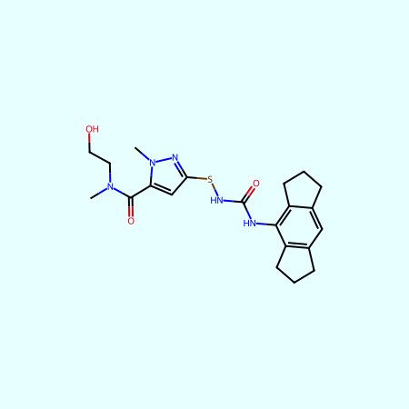 CN(CCO)C(=O)c1cc(SNC(=O)Nc2c3c(cc4c2CCC4)CCC3)nn1C